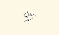 CN1C[C]C=C1C(F)(F)F